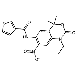 CCN1C(=O)OC(C)(C)c2cc(NC(=O)c3ccsc3)c([N+](=O)[O-])cc21